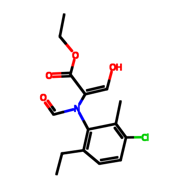 CCOC(=O)C(=CO)N(C=O)c1c(CC)ccc(Cl)c1C